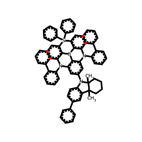 CC12CCCCC1(C)N(c1cc3c4c(c1)N(c1ccccc1-c1ccccc1)c1cccc5c1B4c1c(cccc1[Si]5(c1ccccc1)c1ccccc1)N3c1ccccc1-c1ccccc1)c1ccc(-c3ccccc3)cc12